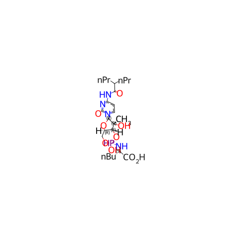 CCCC[C@H](N[PH]1(O)OC[C@H]2O[C@@H](n3ccc(NC(=O)C(CCC)CCC)nc3=O)[C@](C)(O)[C@@H]2O1)C(=O)O